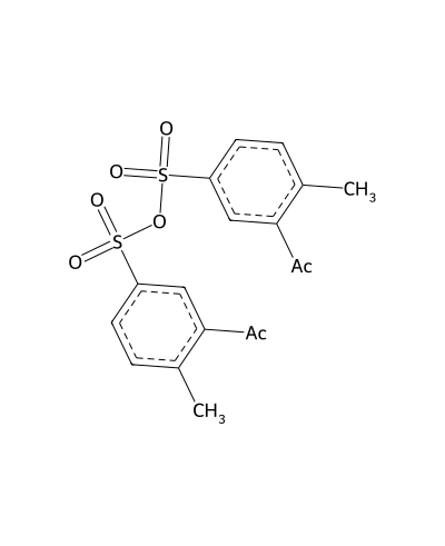 CC(=O)c1cc(S(=O)(=O)OS(=O)(=O)c2ccc(C)c(C(C)=O)c2)ccc1C